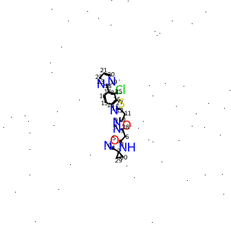 N#CC1(NC(=O)Cc2nnc(Cc3nc4ccc(-c5ncccn5)c(Cl)c4s3)o2)CC1